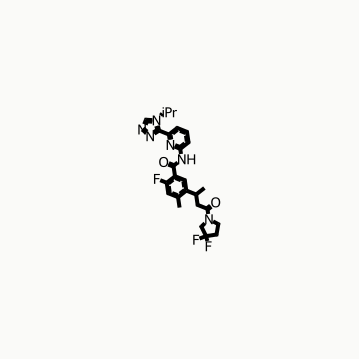 Cc1cc(F)c(C(=O)Nc2cccc(-c3nncn3C(C)C)n2)cc1C(C)CC(=O)N1CCC(F)(F)C1